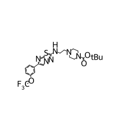 CC(C)(C)OC(=O)N1CCN(CCNc2nn3cc(-c4cccc(OC(F)(F)F)c4)nc3s2)CC1